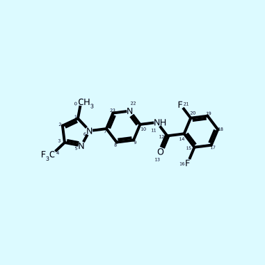 Cc1cc(C(F)(F)F)nn1-c1ccc(NC(=O)c2c(F)cccc2F)nc1